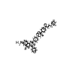 CN(CC(=O)N1CCN(c2nc(-c3cnc(N)nc3C(F)F)nc(N3CCOCC3)n2)CC1)C(=O)C1CCN(C(=O)/C=C/CN2CCCC2)CC1